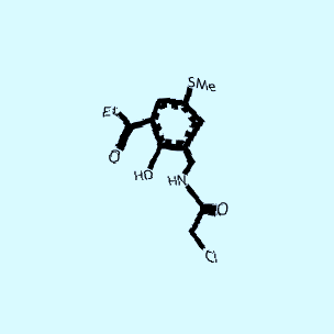 CCC(=O)c1cc(SC)cc(CNC(=O)CCl)c1O